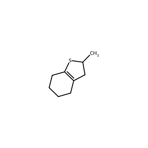 CC1CC2=C(CCCC2)S1